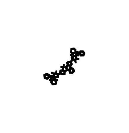 Cc1c(-c2ccc3c(c2)C(C)(C)c2c-3c3ccccc3c3cc(-c4cc5c(c(C)c4C)N(c4ccccc4)C4(C)CCCCC54C)ccc23)cc2c(c1C)N(c1ccccc1)C1(C)CCCCC21C